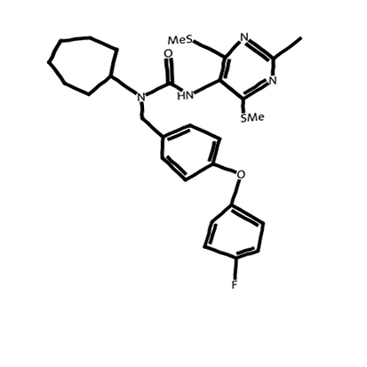 CSc1nc(C)nc(SC)c1NC(=O)N(Cc1ccc(Oc2ccc(F)cc2)cc1)C1CCCCCC1